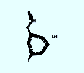 O=[SH]Oc1cccc(I)c1.[LiH]